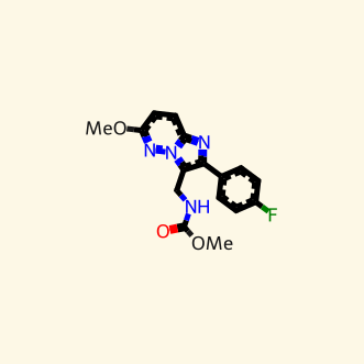 COC(=O)NCc1c(-c2ccc(F)cc2)nc2ccc(OC)nn12